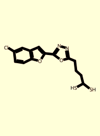 SC(S)CCCc1nnc(-c2cc3cc(Cl)ccc3o2)o1